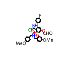 COc1ccc(CN(Cc2ccc(OC)cc2)S(=O)(=O)c2cc(OC=O)cc3c2c(Cl)nn3-c2ccc(F)cc2)cc1